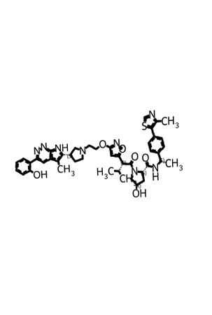 Cc1ncsc1-c1ccc([C@H](C)NC(=O)[C@@H]2C[C@@H](O)CN2C(=O)[C@@H](c2cc(OCCN3CC[C@H](c4[nH]c5nnc(-c6ccccc6O)cc5c4C)C3)no2)C(C)C)cc1